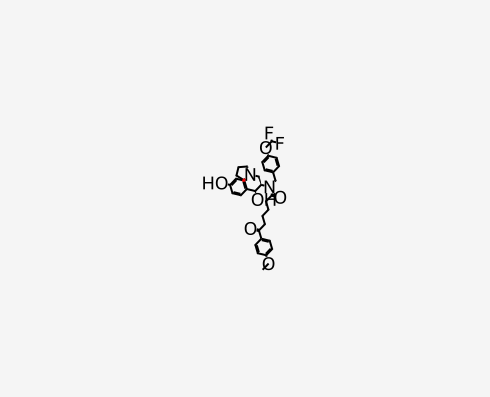 COc1ccc(C(=O)CCCCC(=O)N(Cc2ccc(OC(F)F)cc2)[C@H](CN2CCCC2)[C@H](O)c2ccc(O)cc2)cc1